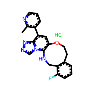 Cc1ncccc1-c1cc2c(n3cnnc13)NCc1c(F)cccc1CCO2.Cl